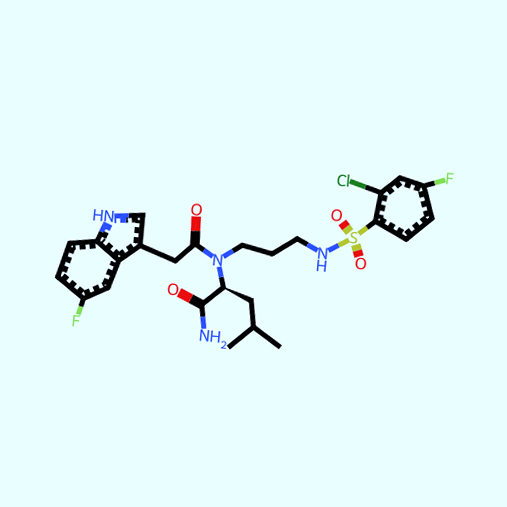 CC(C)C[C@@H](C(N)=O)N(CCCNS(=O)(=O)c1ccc(F)cc1Cl)C(=O)Cc1c[nH]c2ccc(F)cc12